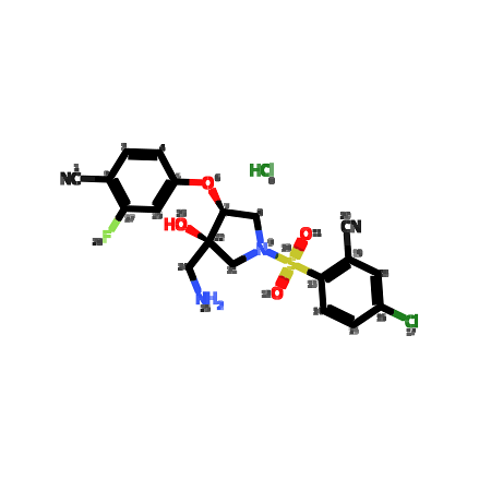 Cl.N#Cc1ccc(O[C@H]2CN(S(=O)(=O)c3ccc(Cl)cc3C#N)C[C@]2(O)CN)cc1F